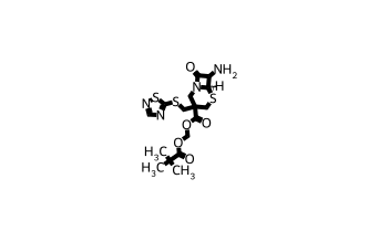 CC(C)(C)C(=O)OCOC(=O)C1(CSc2ncns2)CS[C@@H]2C(N)C(=O)N2C1